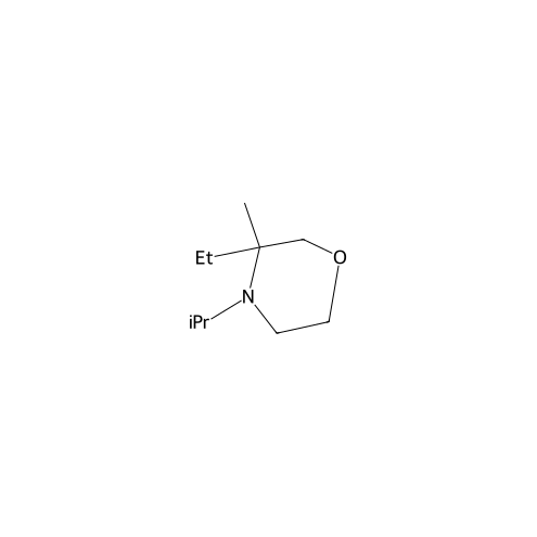 CCC1(C)COCCN1C(C)C